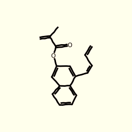 C=C/C=C\c1cc(OC(=O)C(=C)C)cc2ccccc12